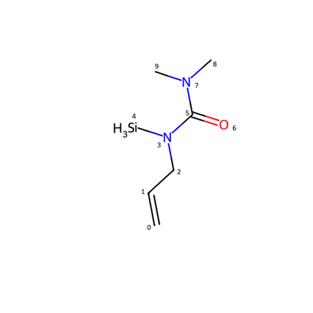 C=CCN([SiH3])C(=O)N(C)C